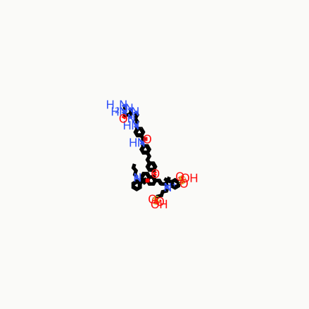 CCCCN1/C(=C/C=C2\CCCC(/C=C/C3=[N+](CCCCS(=O)(=O)O)c4ccc(S(=O)(=O)O)cc4C3(C)C)=C2Oc2ccc(CCc3ccc(NC(=O)c4ccc(NCc5cnc6nc(N)[nH]c(=O)c6n5)cc4)cc3)cc2)C(C)(C)c2ccccc21